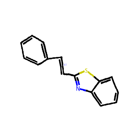 C(=C\c1nc2ccccc2s1)/c1ccccc1